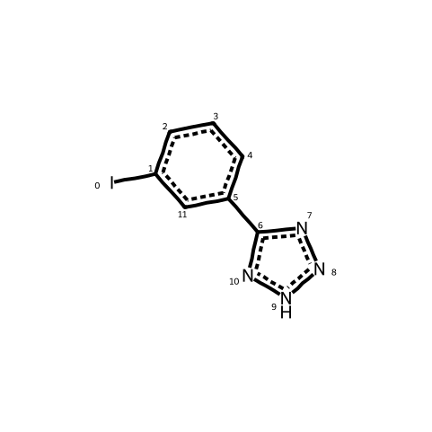 Ic1cccc(-c2nn[nH]n2)c1